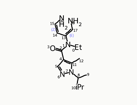 CCN(C(=O)c1cnn(C(C)C(C)C)c1C)C(/C=C\N)=C/N